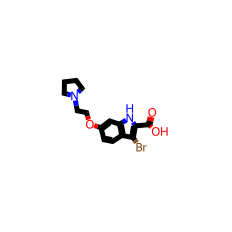 O=C(O)c1[nH]c2cc(OCCN3CCCC3)ccc2c1Br